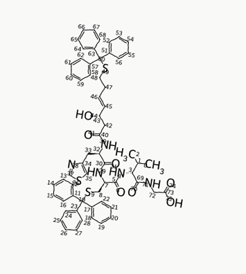 CC(C)[C@@H](NC(=O)[C@@H](CSC(c1ccccc1)(c1ccccc1)c1ccccc1)NC(=O)[C@@H](Cc1cscn1)NC(=O)C[C@H](O)C=CCCSC(c1ccccc1)(c1ccccc1)c1ccccc1)C(=O)NCC(=O)O